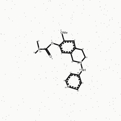 COc1cc2c(cc1OC(=O)N(C)C)CN(Nc1ccncc1)CC2